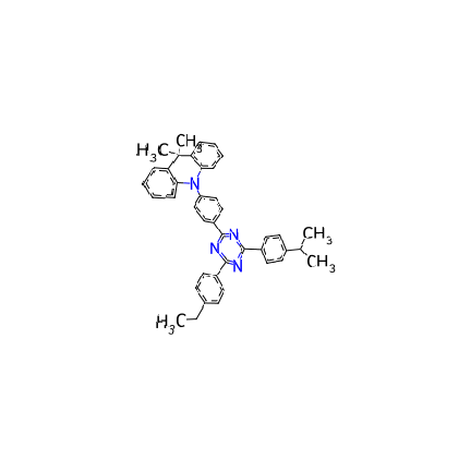 CCc1ccc(-c2nc(-c3ccc(C(C)C)cc3)nc(-c3ccc(N4c5ccccc5C(C)(C)c5ccccc54)cc3)n2)cc1